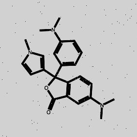 CN(C)c1cccc(C2(c3ccn(C)c3)OC(=O)c3cc(N(C)C)ccc32)c1